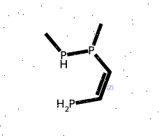 CPP(C)/C=C\P